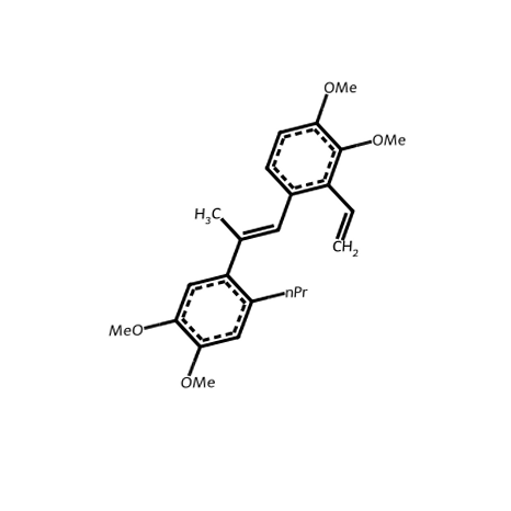 C=Cc1c(/C=C(\C)c2cc(OC)c(OC)cc2CCC)ccc(OC)c1OC